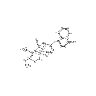 CO[C@@]1(NC(=O)Cn2ccc(=O)c3ccccc32)C(=O)N2C(C(=O)O)=C(COC(C)=O)CS[C@@H]21